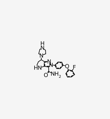 NC(=O)c1c2c(nn1-c1ccc(Oc3ccccc3F)cc1)C(N1CCNCC1)CCN2